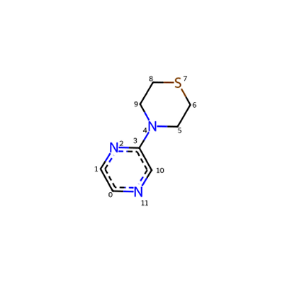 c1cnc(N2CCSCC2)cn1